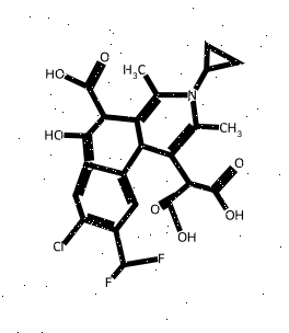 CC1=C(C(C(=O)O)C(=O)O)C(c2ccc(Cl)c(C(F)F)c2)C(C(C(=O)O)C(=O)O)=C(C)N1C1CC1